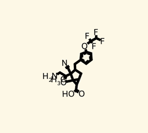 CCC12C(CC(Cc3cccc(OC(F)(F)C(F)F)c3)C1(C#N)C(=O)CN)C2C(=O)O